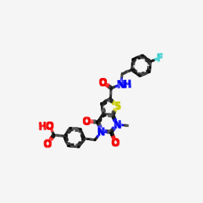 Cn1c(=O)n(Cc2ccc(C(=O)O)cc2)c(=O)c2cc(C(=O)NCc3ccc(F)cc3)sc21